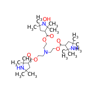 CC1(C)CC(C(=O)OCCN(CCOC(=O)C2CC(C)(C)NC2(C)C)CCOC(=O)C2CC(C)(C)N(O)C2(C)C)C(C)(C)N1